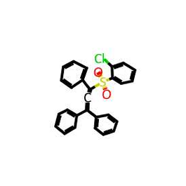 O=S(=O)(C(=C=C(c1ccccc1)c1ccccc1)c1ccccc1)c1ccccc1Cl